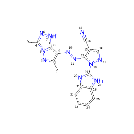 Cc1nn2c(C)n[nH]c2c1/N=N/c1c(C#N)cnn1-c1nc2ccccc2[nH]1